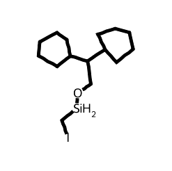 IC[SiH2]OCC(C1CCCCC1)C1CCCCC1